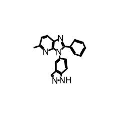 Cc1ccc2nc(-c3ccccc3)n(-c3ccc4[nH]ncc4c3)c2n1